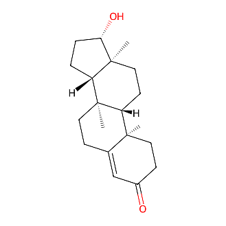 C[C@]12CC[C@H]3[C@@](C)(CCC4=CC(=O)CC[C@@]43C)[C@@H]1CC[C@@H]2O